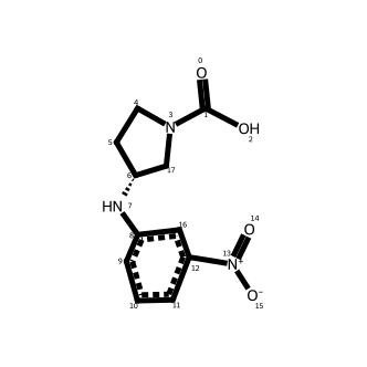 O=C(O)N1CC[C@@H](Nc2cccc([N+](=O)[O-])c2)C1